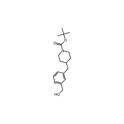 CC(C)(C)OC(=O)N1CCC(Cc2ccnc(CO)c2)CC1